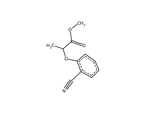 COC(=O)C(C)Oc1ccccc1C#N